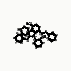 N#Cc1ccc(OCc2ccccc2)c2c1C1(CCNCC1)C(Cc1ccccc1)N2c1ccccc1N